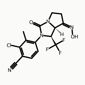 Cc1c(N2C(=O)N3CC/C(=N/O)[C@H]3[C@H]2C(F)(F)F)ccc(C#N)c1Cl